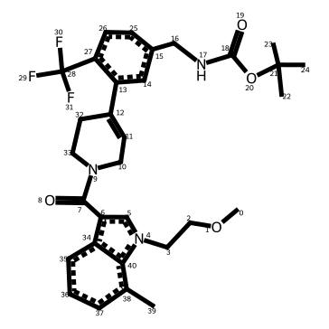 COCCn1cc(C(=O)N2CC=C(c3cc(CNC(=O)OC(C)(C)C)ccc3C(F)(F)F)CC2)c2cccc(C)c21